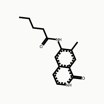 CCCCC(=O)Nc1cc2cc[nH]c(=O)c2cc1C